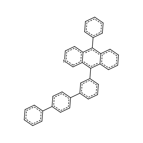 c1ccc(-c2ccc(-c3cccc(-c4c5ccccc5c(-c5ccccc5)c5ccncc45)c3)cc2)cc1